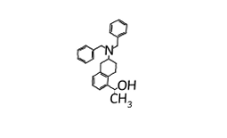 C[C@@H](O)c1cccc2c1CCC(N(Cc1ccccc1)Cc1ccccc1)C2